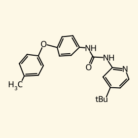 Cc1ccc(Oc2ccc(NC(=O)Nc3cc(C(C)(C)C)ccn3)cc2)cc1